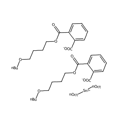 CCCCCCC[CH2][Sn+2][CH2]CCCCCCC.CCCCOCCCCOC(=O)c1ccccc1C(=O)[O-].CCCCOCCCCOC(=O)c1ccccc1C(=O)[O-]